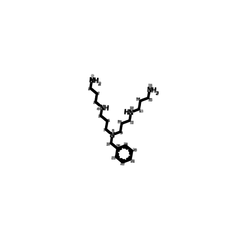 NCCCNCCCN(CCCNCCCN)Cc1ccccc1